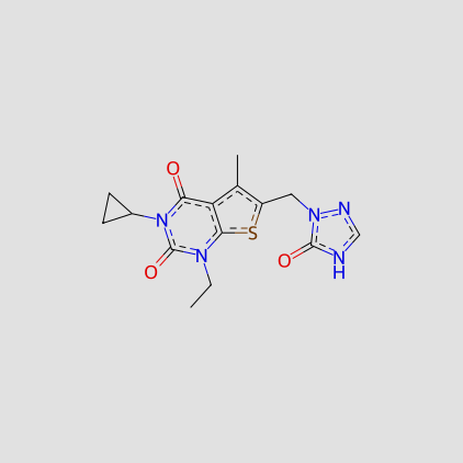 CCn1c(=O)n(C2CC2)c(=O)c2c(C)c(Cn3nc[nH]c3=O)sc21